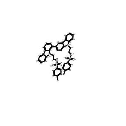 Cc1ccc(S(=O)(=O)OCCn2c3ccccc3c3cc(-c4cccc5c6ccccc6n(CCOS(=O)(=O)c6ccc(C)cc6)c45)ccc32)cc1